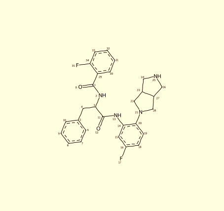 O=C(NC(Cc1ccccc1)C(=O)Nc1cc(F)ccc1N1CC2CNCC2C1)c1ccccc1F